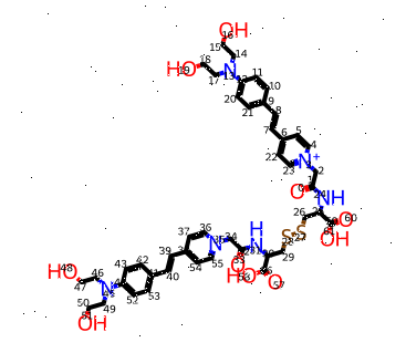 O=C(C[n+]1ccc(/C=C/c2ccc(N(CCO)CCO)cc2)cc1)NC(CSSCC(NC(=O)C[n+]1ccc(/C=C/c2ccc(N(CCO)CCO)cc2)cc1)C(=O)O)C(=O)O